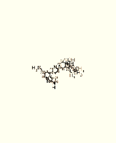 CCOc1cc(-c2ccc(N3CCC(CO)(NC(=O)OC(C)(C)C)CC3)nc2)c2c3cn[nH]c3nn2c1